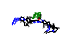 C[C@@H]1CNCCN1c1ccc(C(=O)Nc2cc3[nH]c([C@H]4CCCN4C)cc3cn2)cc1.Cl.Cl